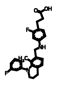 Cc1c(CNc2ccc(CCC(=O)O)c(F)c2)ccc2c1N(c1cccc(F)c1)CCC2